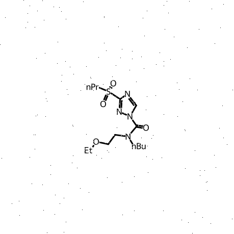 CCCCN(CCOCC)C(=O)n1cnc(S(=O)(=O)CCC)n1